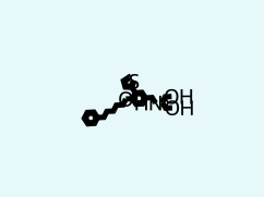 OCC(CO)NCc1ccc(OCCCCCc2ccccc2)c(-c2cccs2)c1